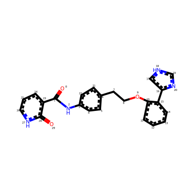 O=C(Nc1ccc(CCOc2ccccc2-c2c[nH]cn2)cc1)c1ccc[nH]c1=O